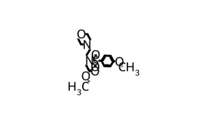 CCOC(=O)CN(CCN1CCOCC1)S(=O)(=O)c1ccc(OC)cc1